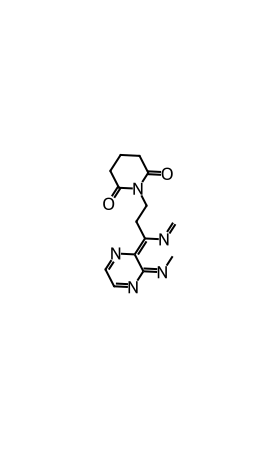 C=N/C(CCN1C(=O)CCCC1=O)=C1/N=CC=N/C1=N/C